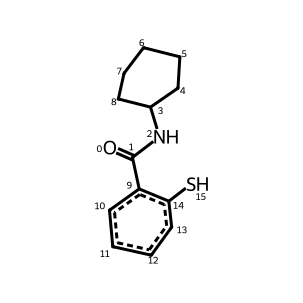 O=C(NC1CCCCC1)c1ccccc1S